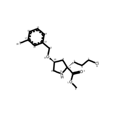 COC(=O)[C@]1(CCCCl)C[C@H](OCc2cccc(I)c2)CN1